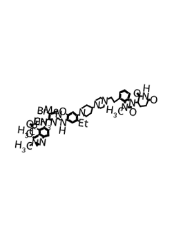 CCc1cc(Nc2ncc(Br)c(Nc3ccc4ncn(C)c(=O)c4c3P(C)(C)=O)n2)c(OC)cc1N1CCC(N2CCN(CCc3cccc4c3n(C)c(=O)n4C3CCC(=O)NC3=O)CC2)CC1